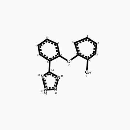 Oc1ccccc1Oc1ccccc1-c1nn[nH]n1